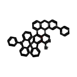 Brc1ccc(C2c3cc(-c4ccccc4)ccc3Cc3cccc(-c4ccc5c(c4)C4(c6ccccc6-5)c5ccccc5N(c5ccccc5)c5ccccc54)c32)cn1